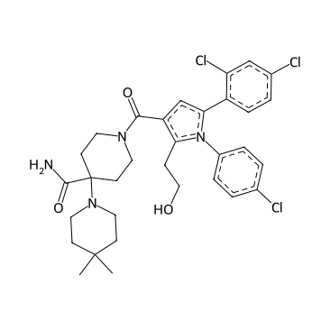 CC1(C)CCN(C2(C(N)=O)CCN(C(=O)c3cc(-c4ccc(Cl)cc4Cl)n(-c4ccc(Cl)cc4)c3CCO)CC2)CC1